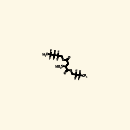 CC(F)(F)C(F)(F)C(F)(F)COC(=O)CC(C(=O)OCC(F)(F)C(F)(F)C(F)(F)F)S(=O)(=O)O